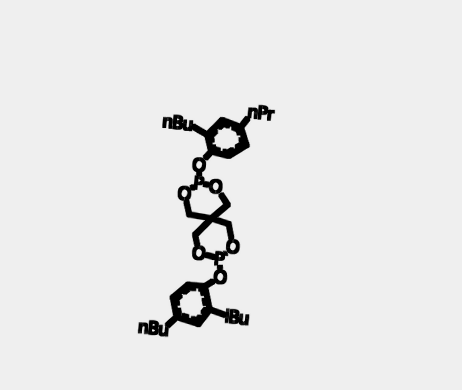 CCCCc1ccc(OP2OCC3(COP(Oc4ccc(CCC)cc4CCCC)OC3)CO2)c(C(C)CC)c1